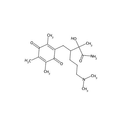 CC1=C(C)C(=O)C(CC(CCCN(C)C)C(C)(O)C(N)=O)=C(C)C1=O